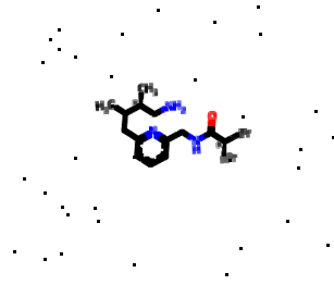 CCC[C@@H](C(=O)NCc1cccc(CC(C)[C@@H](C)CN)n1)C(C)C